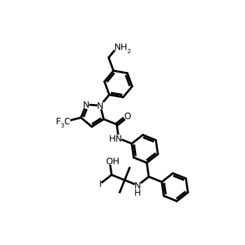 CC(C)(NC(c1ccccc1)c1cccc(NC(=O)c2cc(C(F)(F)F)nn2-c2cccc(CN)c2)c1)C(O)I